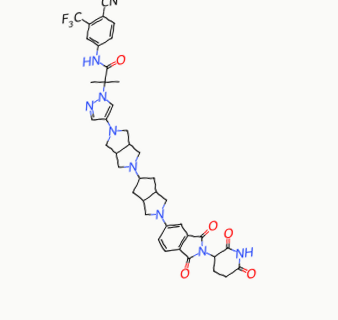 CC(C)(C(=O)Nc1ccc(C#N)c(C(F)(F)F)c1)n1cc(N2CC3CN(C4CC5CN(c6ccc7c(c6)C(=O)N(C6CCC(=O)NC6=O)C7=O)CC5C4)CC3C2)cn1